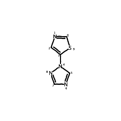 [c]1ncc(-n2cncn2)s1